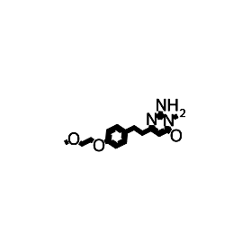 COCCOc1ccc(CCc2cc(=O)n(C)c(N)n2)cc1